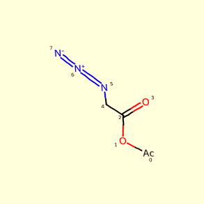 CC(=O)OC(=O)CN=[N+]=[N-]